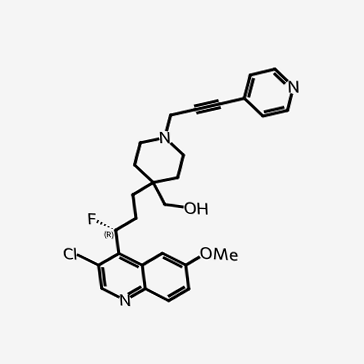 COc1ccc2ncc(Cl)c([C@H](F)CCC3(CO)CCN(CC#Cc4ccncc4)CC3)c2c1